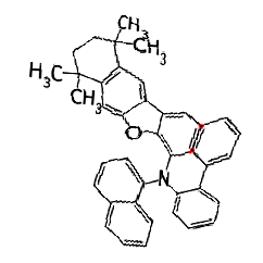 CC1(C)CCC(C)(C)c2cc3c(cc21)oc1c(N(c2ccccc2-c2ccccc2)c2cccc4ccccc24)cccc13